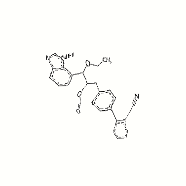 CCOC(c1cccc2nc[nH]c12)C(Cc1ccc(-c2ccccc2C#N)cc1)OC=O